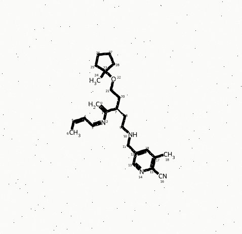 C=C(/N=C\C=C/C)[C@H](CCNCc1cnc(C#N)c(C)c1)CCOC1(C)CCCC1